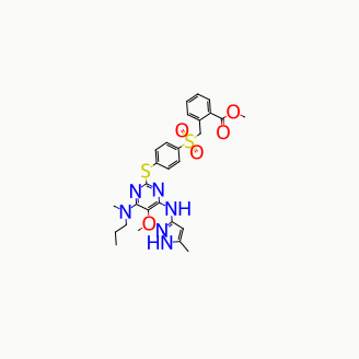 CCCN(C)c1nc(Sc2ccc(S(=O)(=O)Cc3ccccc3C(=O)OC)cc2)nc(Nc2cc(C)[nH]n2)c1OC